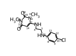 Cn1c(NCCNc2ccc(Cl)cc2)cc(=O)n(C)c1=O